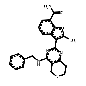 Cc1oc2c(C(N)=O)cccc2c1-c1nc2c(c(NCc3ccccc3)n1)CNCC2